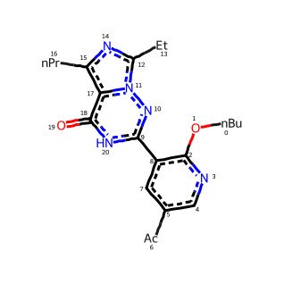 CCCCOc1ncc(C(C)=O)cc1-c1nn2c(CC)nc(CCC)c2c(=O)[nH]1